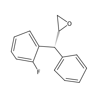 Fc1ccccc1[C@@H](c1ccccc1)C1CO1